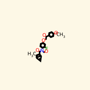 COc1ccc(C(=O)COc2ccc(N(C=O)C(=O)C3C(C)C4C=CC3C3CC43)c(F)c2)cc1